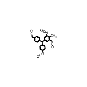 Cc1c(N=C=O)cc(C(c2ccc(N=C=O)cc2)c2ccc(N=C=O)cc2)cc1N=C=O